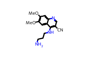 COc1cc2ncc(C#N)c(NCCCN)c2cc1OC